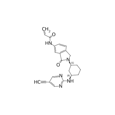 C#Cc1cnc(N[C@@H]2CCC[C@H](N3Cc4ccc(NC(=O)C=C)cc4C3=O)C2)nc1